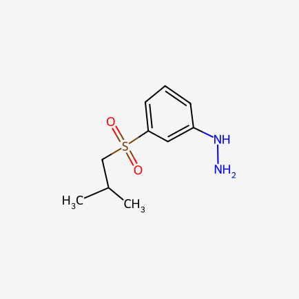 CC(C)CS(=O)(=O)c1cccc(NN)c1